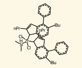 CCCC1=Cc2c(ccc(C(C)CC)c2-c2ccccc2)[CH]1[Zr]([Cl])([Cl])([CH]1C(CCC)=Cc2c1ccc(C(C)CC)c2-c1ccccc1)[SiH](C)C